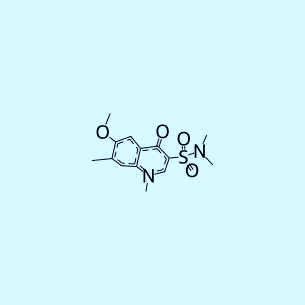 COc1cc2c(=O)c(S(=O)(=O)N(C)C)cn(C)c2cc1C